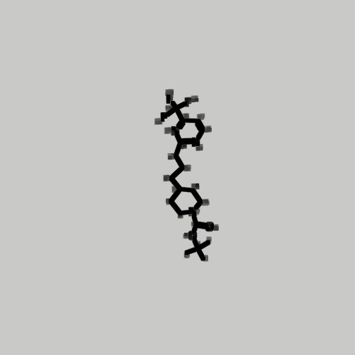 CC(C)(C)OC(=O)N1CCC(CCCc2nccc(C(F)(F)F)n2)CC1